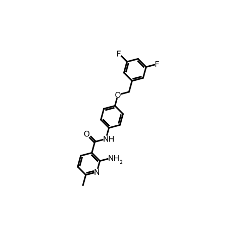 Cc1ccc(C(=O)Nc2ccc(OCc3cc(F)cc(F)c3)cc2)c(N)n1